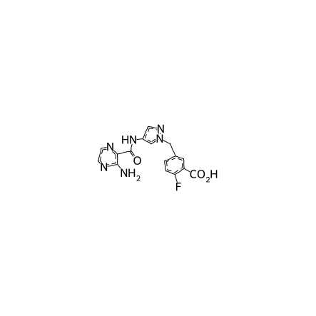 Nc1nccnc1C(=O)Nc1cnn(Cc2ccc(F)c(C(=O)O)c2)c1